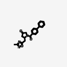 Cc1noc(CC2CC(=O)CN2C(=O)c2ccc(-c3ccccc3)cc2)n1